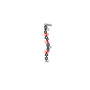 CCC(C)(c1ccc(OC)cc1)c1ccc(OC(=O)c2ccc3cc(C(=O)Oc4ccc(C(C)(CC)c5ccc(OC(=O)c6ccc(-c7ccc(C(C)=O)cc7)cc6)cc5)cc4)ccc3c2)cc1